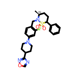 C[C@H]1CCC(c2ccccc2)S(=O)(=O)N1Cc1ccc(N2CCC(c3ncon3)CC2)cc1F